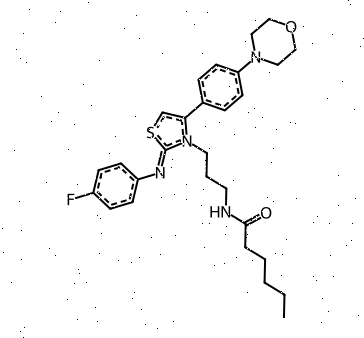 CCCCCC(=O)NCCCn1c(-c2ccc(N3CCOCC3)cc2)cs/c1=N\c1ccc(F)cc1